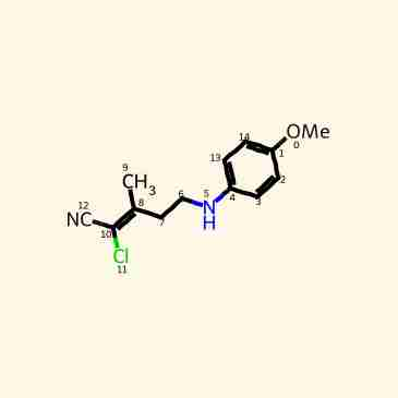 COc1ccc(NCC/C(C)=C(\Cl)C#N)cc1